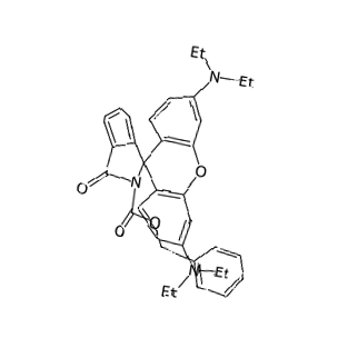 CCN(CC)c1ccc2c(c1)Oc1cc(N(CC)CC)ccc1C21c2ccccc2C(=O)N1C(=O)OCc1ccccc1